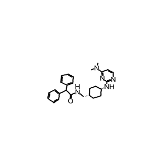 CN(C)c1ccnc(N[C@H]2CC[C@@H](CNC(=O)C(c3ccccc3)c3ccccc3)CC2)n1